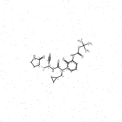 CC(C)(C)OC(=O)Nc1cccn([C@@H](CC2CC2)C(=O)N[C@H](C#N)C[C@@H]2CCNC2=O)c1=O